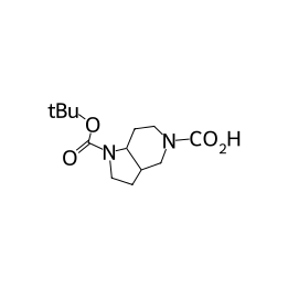 CC(C)(C)OC(=O)N1CCC2CN(C(=O)O)CCC21